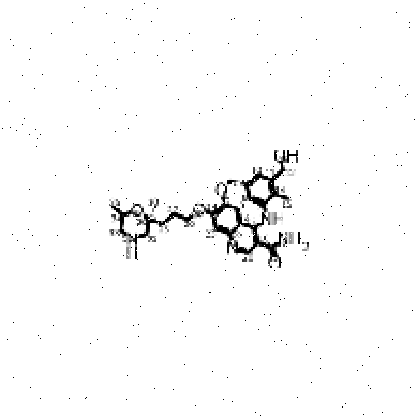 COc1cc2c(Nc3cccc(CO)c3C)c(C(N)=O)cnc2cc1OCCC[C@@]1(C)CNCC(C)O1